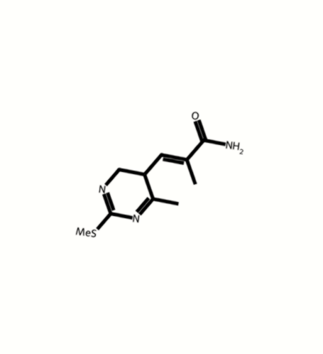 CSC1=NCC(/C=C(\C)C(N)=O)C(C)=N1